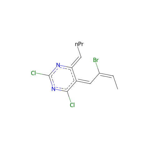 C\C=C(Br)/C=c1/c(Cl)nc(Cl)n/c1=C\CCC